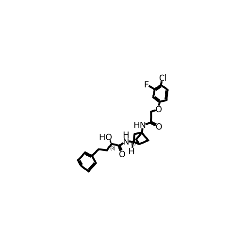 O=C(COc1ccc(Cl)c(F)c1)NC12CC(C1)[C@H](NC(=O)[C@H](O)CCc1ccccc1)C2